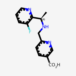 C[C@@H](NCc1ccc(C(=O)O)cn1)c1ncccc1F